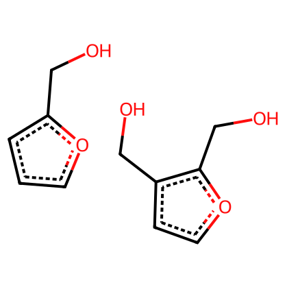 OCc1ccco1.OCc1ccoc1CO